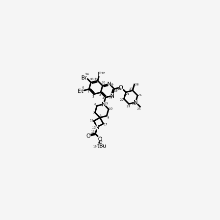 CCc1cc2c(N3CCC4(CC3)CN(C(=O)OC(C)(C)C)C4)nc(OC3CCN(C)CC3C)nc2c(F)c1Br